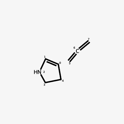 C1=CNCC1.C=C=C